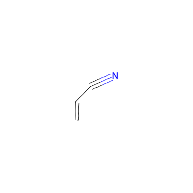 [CH]=CC#N